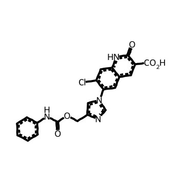 O=C(Nc1ccccc1)OCc1cn(-c2cc3cc(C(=O)O)c(=O)[nH]c3cc2Cl)cn1